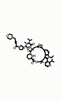 CCn1c(-c2cccnc2C(C)C)c2c3cc(ccc31)-c1nsc(n1)C[C@H](NC(=O)[C@H](C(C)C)N(C)C(=O)[C@H]1CCN(C(=O)C#CCN3CCOCC3)C1)C(=O)N1CCC[C@H](N1)C(=O)OCC(C)(C)C2